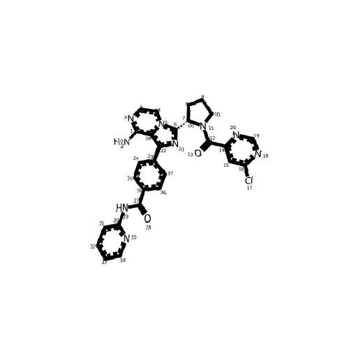 Nc1nccn2c([C@@H]3CCCN3C(=O)c3cc(Cl)ncn3)nc(-c3ccc(C(=O)Nc4ccccn4)cc3)c12